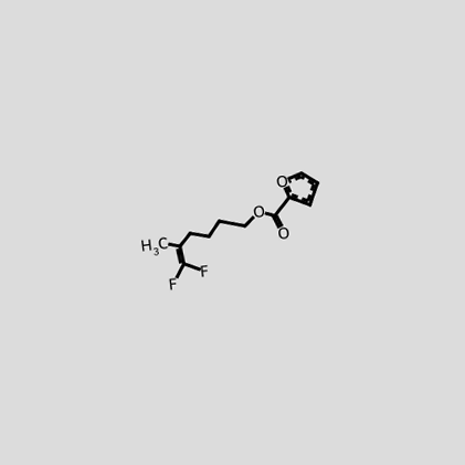 CC(CCCCOC(=O)c1ccco1)=C(F)F